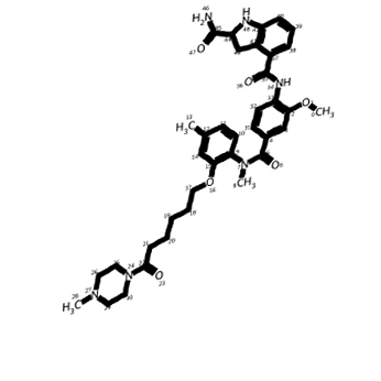 COc1cc(C(=O)N(C)c2ccc(C)cc2OCCCCCC(=O)N2CCN(C)CC2)ccc1NC(=O)c1cccc2c1CC(C(N)=O)N2